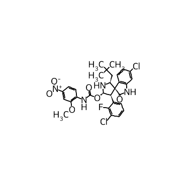 COc1cc([N+](=O)[O-])ccc1NC(=O)O[C@H]1N[C@@H](CC(C)(C)C)[C@@]2(C(=O)Nc3cc(Cl)ccc32)[C@H]1c1cccc(Cl)c1F